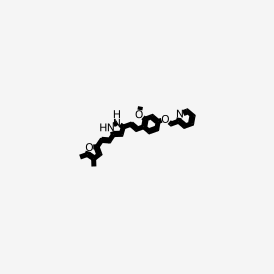 COc1cc(OCc2ccccn2)ccc1/C=C/C1C=C(/C=C/c2cc(C)c(C)o2)NN1